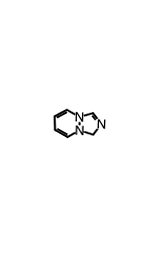 C1=CN2C=NCN2C=C1